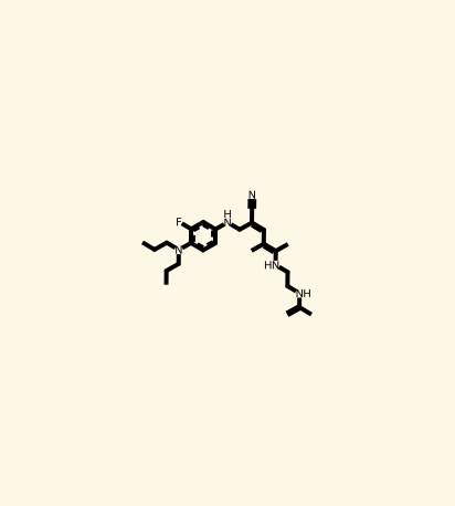 C=C(C)NCCN/C(C)=C(C)/C=C(/C#N)CNc1ccc(N(CCC)CCC)c(F)c1